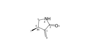 C=C1C(=O)NC[C@@H]1C